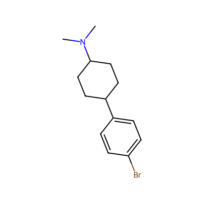 CN(C)C1CCC(c2ccc(Br)cc2)CC1